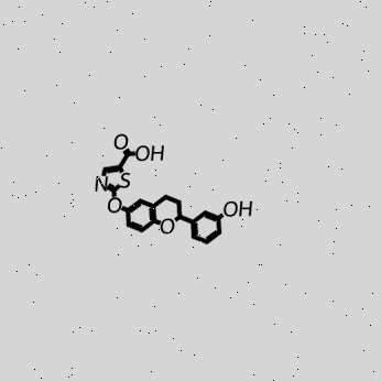 O=C(O)c1cnc(Oc2ccc3c(c2)CCC(c2cccc(O)c2)O3)s1